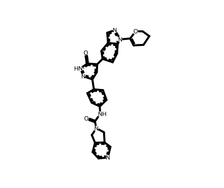 O=C(Nc1ccc(-c2cc(-c3ccc4c(cnn4C4=CCCCO4)c3)c(=O)[nH]n2)cc1)N1Cc2ccncc2C1